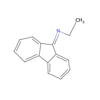 CCN=C1c2ccccc2-c2ccccc21